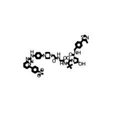 Cc1ncsc1-c1ccc(CNC(=O)[C@@H]2C[C@@H](O)CN2C(=O)[C@@H](NC(=O)CNC(=O)CN2CCN(c3ccc(Nc4nc5cccc(-c6ccc(S(C)(=O)=O)cc6)n5n4)cc3)CC2)C(C)(C)C)cc1